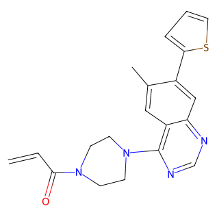 C=CC(=O)N1CCN(c2ncnc3cc(-c4cccs4)c(C)cc23)CC1